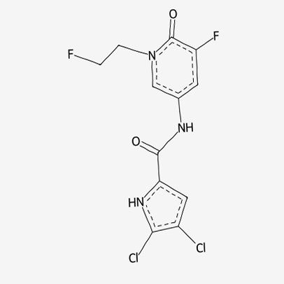 O=C(Nc1cc(F)c(=O)n(CCF)c1)c1cc(Cl)c(Cl)[nH]1